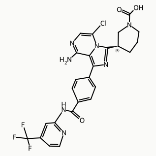 Nc1ncc(Cl)n2c([C@@H]3CCCN(C(=O)O)C3)nc(-c3ccc(C(=O)Nc4cc(C(F)(F)F)ccn4)cc3)c12